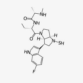 CC[C@H](NC(=O)[C@H](C)NC)C(=O)N1CC[C@@H]2[C@H]1[C@H](c1c[nH]c3cc(F)ccc13)CN2S